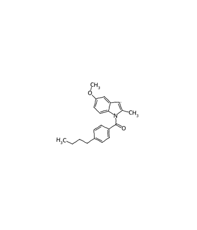 CCCCc1ccc(C(=O)n2c(C)[c]c3cc(OC)ccc32)cc1